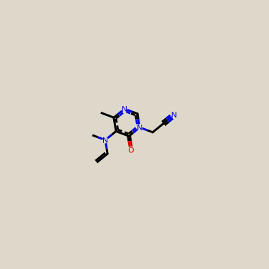 C=CN(C)c1c(C)ncn(CC#N)c1=O